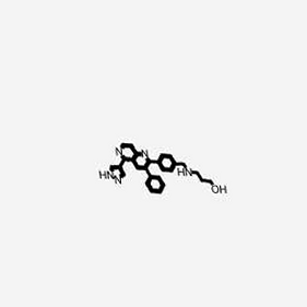 OCCCNCc1ccc(-c2nc3ccnc(-c4cn[nH]c4)c3cc2-c2ccccc2)cc1